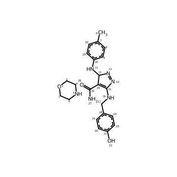 C1COCCN1.Cc1ccc(NC2N=NC(NCc3ccc(O)cc3)=C2C(N)=O)cc1